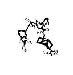 O=C(NCc1ccc2oc(=O)[nH]c2c1)c1cc(C(=O)NCC23CC45C2C2C3C4C25c2nnn[nH]2)n2nccc2n1